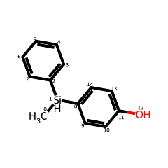 C[SiH](c1ccccc1)c1ccc(O)cc1